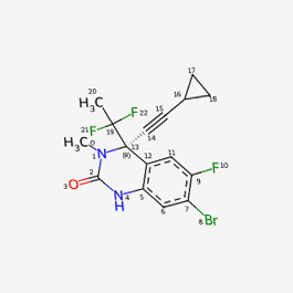 CN1C(=O)Nc2cc(Br)c(F)cc2[C@]1(C#CC1CC1)C(C)(F)F